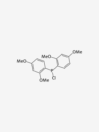 COc1ccc(P(Cl)c2ccc(OC)cc2OC)c(OC)c1